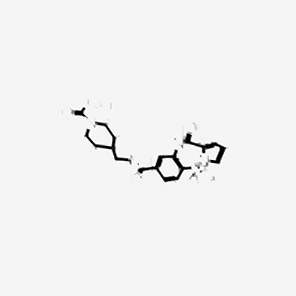 CC(C)(C)C(=O)N1CCC(CNC(=O)c2ccc3c(c2)NC(=O)c2cccn2S3(=O)=O)CC1